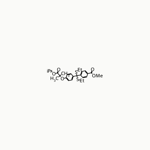 CCSC(SCC)(c1ccc(OC(C)(C)C(=O)OC(C)C)cc1)c1ccc(C(=O)OC)cc1